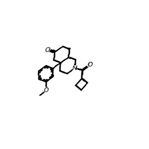 COc1cccc(C23CCN(C(=O)C4CCC4)CC2CCC(=O)C3)c1